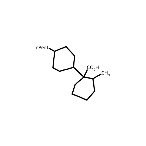 CCCCCC1CCC(C2(C(=O)O)CCCCC2C)CC1